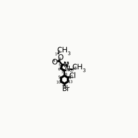 CCOC(=O)c1cc(-c2ccc(Br)cc2Cl)n(CC)n1